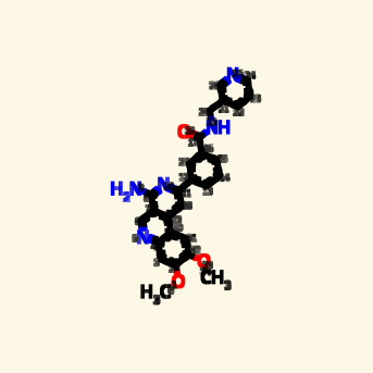 COc1cc2ncc3c(N)nc(-c4cccc(C(=O)NCc5cccnc5)c4)cc3c2cc1OC